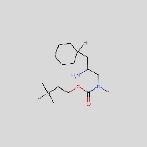 CCC1(CC(N)CN(C)C(=O)OCC[Si](C)(C)C)CCCCC1